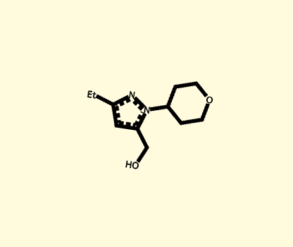 CCc1cc(CO)n(C2CCOCC2)n1